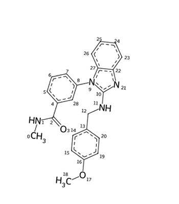 CNC(=O)c1cccc(-n2c(NCc3ccc(OC)cc3)nc3ccccc32)c1